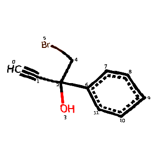 C#CC(O)(CBr)c1ccccc1